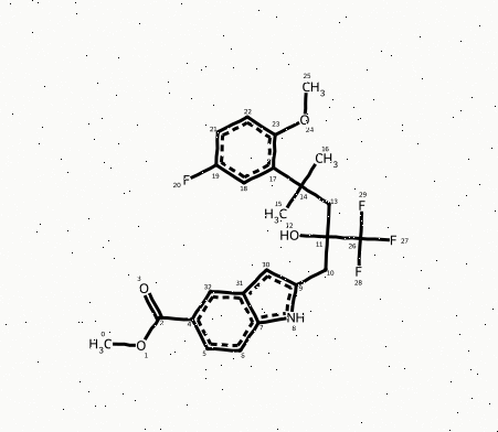 COC(=O)c1ccc2[nH]c(CC(O)(CC(C)(C)c3cc(F)ccc3OC)C(F)(F)F)cc2c1